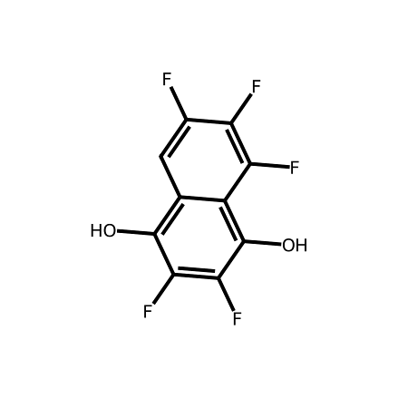 Oc1c(F)c(F)c(O)c2c(F)c(F)c(F)cc12